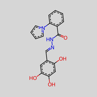 O=C(NN=Cc1cc(O)c(O)cc1O)c1ccccc1-n1cccc1